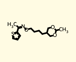 CC(=NOCCCCC1COC(C)OC1)c1cccs1